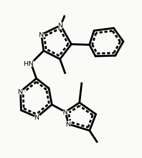 Cc1cc(C)n(-c2cc(Nc3nn(C)c(-c4ccccc4)c3C)ncn2)n1